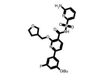 CC(C)COc1cc(F)cc(-c2ccc(C(=O)NS(=O)(=O)c3cccc(N)n3)c(OCC3CCOC3)n2)c1